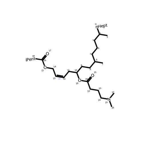 CCCCCCCC(C)CCCC(C)CCC(C/C=C\COC(=O)C(C)CCC)OC(=O)CCCN(C)C